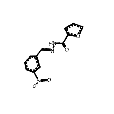 O=C(N/N=C/c1cccc([N+](=O)[O-])c1)c1ccco1